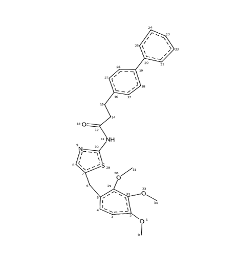 COc1ccc(Cc2cnc(NC(=O)CCc3ccc(-c4ccccc4)cc3)s2)c(OC)c1OC